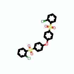 O=S(=O)(c1ccc(Oc2ccc(S(=O)(=O)c3ccccc3Cl)cc2)cc1)c1ccccc1Cl